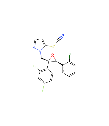 N#CSc1ccnn1C[C@@]1(c2ccc(F)cc2F)O[C@H]1c1ccccc1Cl